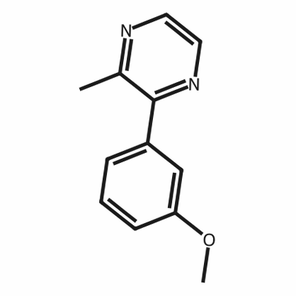 COc1cccc(-c2nccnc2C)c1